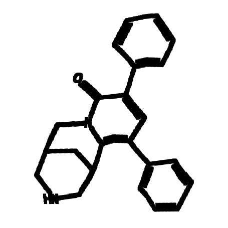 O=c1c(-c2ccccc2)cc(-c2ccccc2)c2n1CC1CNCC2C1